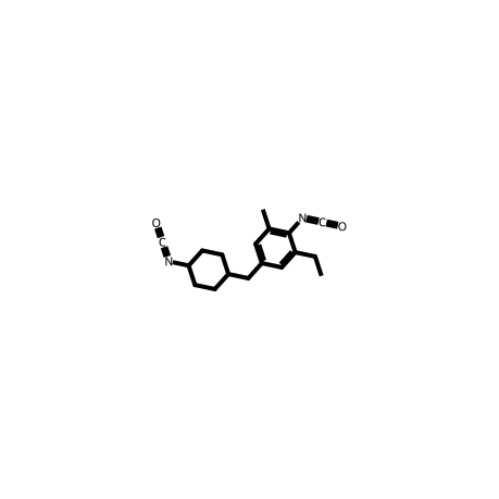 CCc1cc(CC2CCC(N=C=O)CC2)cc(C)c1N=C=O